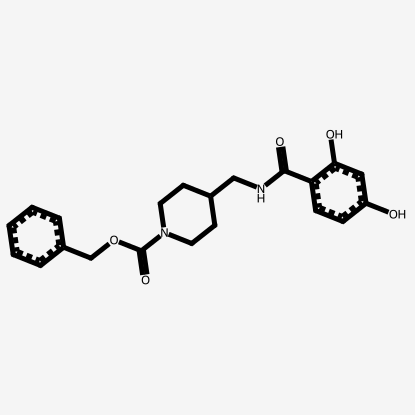 O=C(NCC1CCN(C(=O)OCc2ccccc2)CC1)c1ccc(O)cc1O